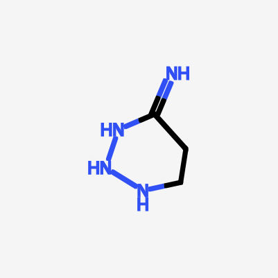 N=C1CCNNN1